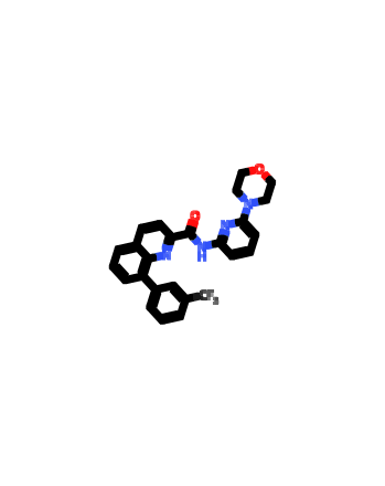 O=C(Nc1cccc(N2CCOCC2)n1)c1ccc2cccc(-c3cccc(C(F)(F)F)c3)c2n1